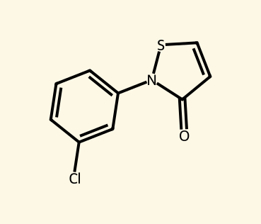 O=c1ccsn1-c1cccc(Cl)c1